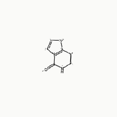 O=C1NCCC2=C1C=C[N]2